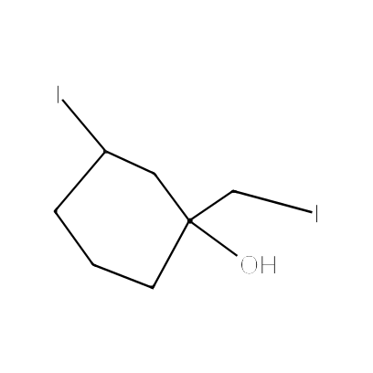 OC1(CI)CCCC(I)C1